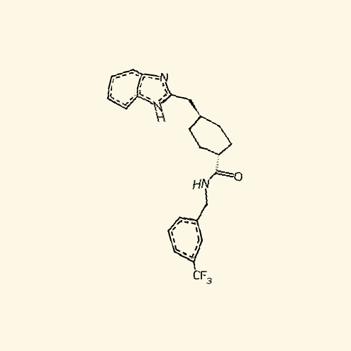 O=C(NCc1cccc(C(F)(F)F)c1)[C@H]1CC[C@H](Cc2nc3ccccc3[nH]2)CC1